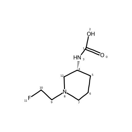 O=C(O)N[C@@H]1CCCN(CCF)C1